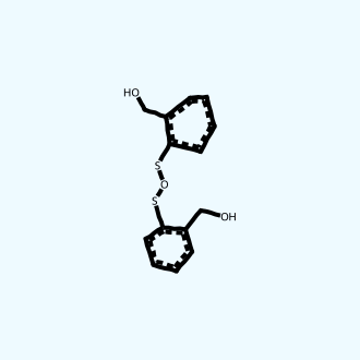 OCc1ccccc1SOSc1ccccc1CO